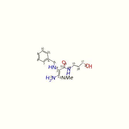 CN/C(N)=C(/NCc1ccccc1)C(=O)NCCCO